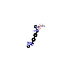 CC(C)(C)OC(=O)N1CCC[C@H]1c1ncc(C23CCC(c4ccc(-c5cnc([C@@H]6CCCN6)[nH]5)cc4)(CC2)CC3)[nH]1